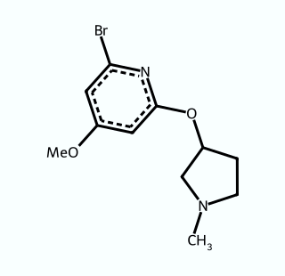 COc1cc(Br)nc(OC2CCN(C)C2)c1